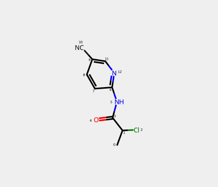 CC(Cl)C(=O)Nc1ccc(C#N)cn1